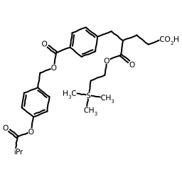 CC(C)C(=O)Oc1ccc(COC(=O)c2ccc(CC(CCC(=O)O)C(=O)OCCS(C)(C)C)cc2)cc1